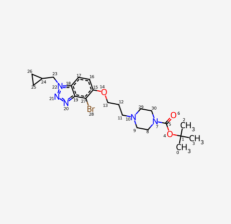 CC(C)(C)OC(=O)N1CCN(CCCOc2ccc3c(nnn3CC3CC3)c2Br)CC1